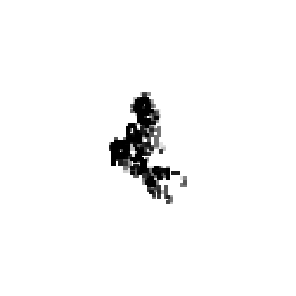 CC(Cc1ccccc1)(NC(=O)[C@@H](N)CC(=O)N(CCN)CCN)C(=O)Nc1cnc2ccccc2c1